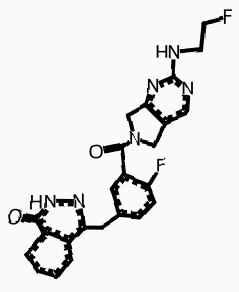 O=C(c1cc(Cc2n[nH]c(=O)c3ccccc23)ccc1F)N1Cc2cnc(NCCF)nc2C1